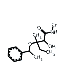 CCC(C)(OC(C)c1ccccc1)C(O)C(=O)NC